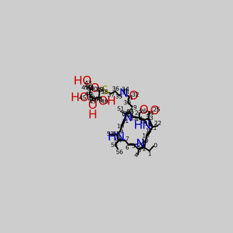 CCC1=C(C)c2cc3[nH]c(cc4nc(c5c6[nH]c(cc1n2)c(C)c6C(=O)OC5)[C@@H](CCC(=O)N(C)CCCS[C@@H]1O[C@H](CO)[C@@H](O)[C@H](O)[C@H]1O)[C@@H]4C)c(C)c3CC